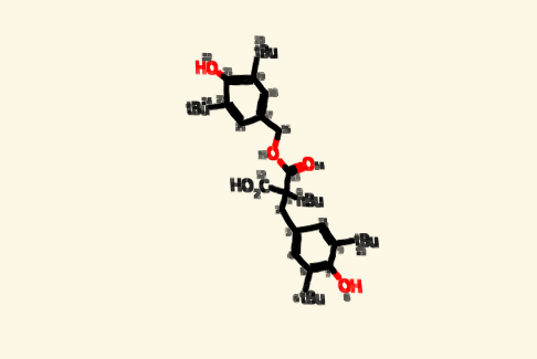 CCCCC(Cc1cc(C(C)(C)C)c(O)c(C(C)(C)C)c1)(C(=O)O)C(=O)OCc1cc(C(C)(C)C)c(O)c(C(C)(C)C)c1